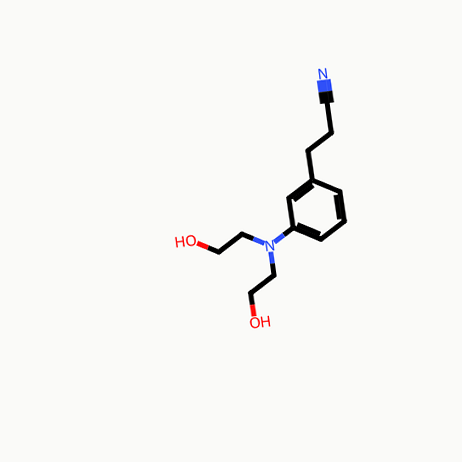 N#CCCc1cccc(N(CCO)CCO)c1